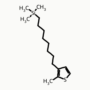 Cc1sccc1CCCCCCCC[Si](C)(C)C